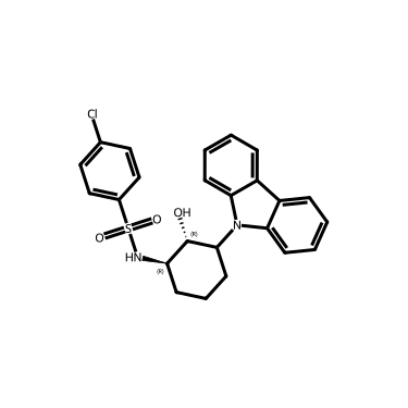 O=S(=O)(N[C@@H]1CCCC(n2c3ccccc3c3ccccc32)[C@H]1O)c1ccc(Cl)cc1